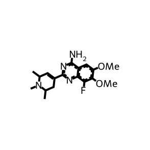 COc1cc2c(N)nc(C3=CC(C)N(C)C(C)C3)nc2c(F)c1OC